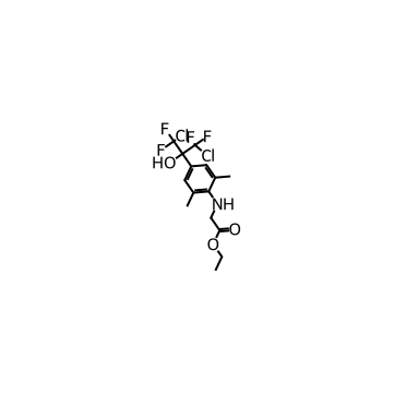 CCOC(=O)CNc1c(C)cc(C(O)(C(F)(F)Cl)C(F)(F)Cl)cc1C